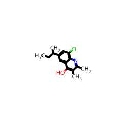 CCC(C)c1cc(Cl)c2nc(C)c(C)c(O)c2c1